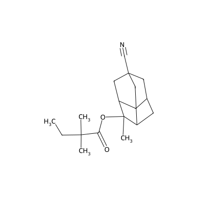 CCC(C)(C)C(=O)OC1(C)C2CC3CC1CC(C#N)(C3)C2